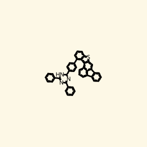 c1ccc(C2=NC(c3ccc(-c4cccc5sc6cc7c8c(cccc8c6c45)-c4ccccc4-7)cc3)NC(c3ccccc3)=N2)cc1